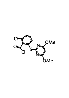 COc1cc(OC)nc(Sc2cccc(Cl)c2C(=O)Cl)n1